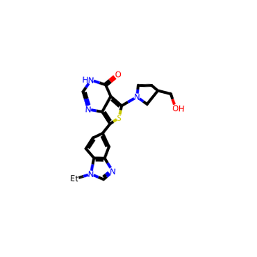 CCn1cnc2cc(-c3sc(N4CCC(CO)C4)c4c(=O)[nH]cnc34)ccc21